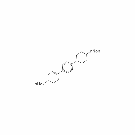 CCCCCCCCCC1CCC(c2ccc(C3=CCC(CCCCCC)CC3)cc2)CC1